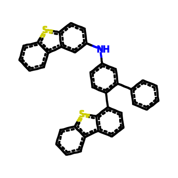 c1ccc(-c2cc(Nc3ccc4sc5ccccc5c4c3)ccc2-c2cccc3c2sc2ccccc23)cc1